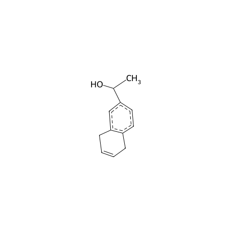 CC(O)c1ccc2c(c1)CC=CC2